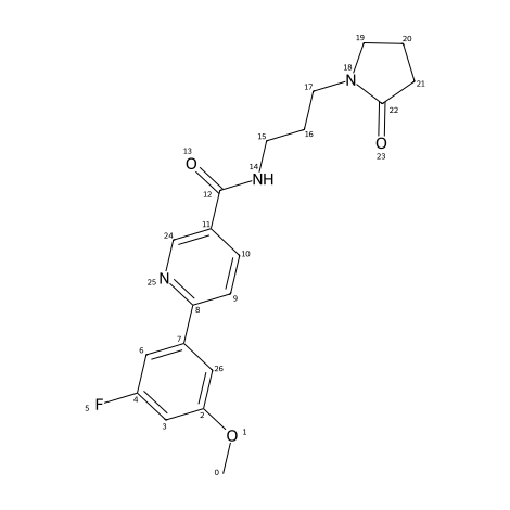 COc1cc(F)cc(-c2ccc(C(=O)NCCCN3CCCC3=O)cn2)c1